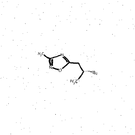 Cc1noc(C[C@@H](C)C(C)(C)C)n1